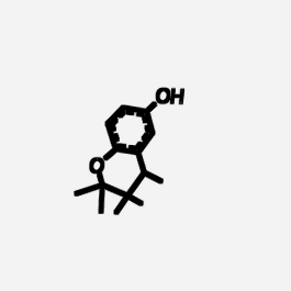 CC1c2cc(O)ccc2OC(C)(C)C1(C)C